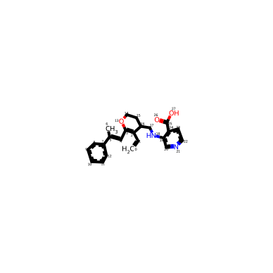 C=CC1=C(/C=C(\C)c2ccccc2)OCCC1CNc1cnccc1C(=O)O